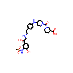 CS(=O)(=O)Nc1cc([C@@H](O)CNCCc2ccc(NC3CCN(C(=O)N4CCCC(C(=O)O)C4)CC3)cc2)ccc1O